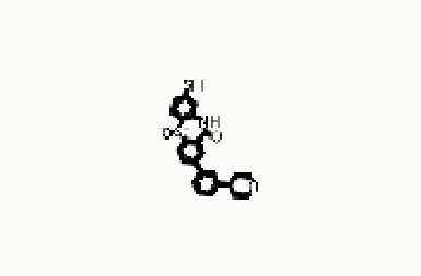 O=C1Nc2cc(S)ccc2[S+]([O-])c2ccc(-c3cccc(C4CCOCC4)c3)cc21